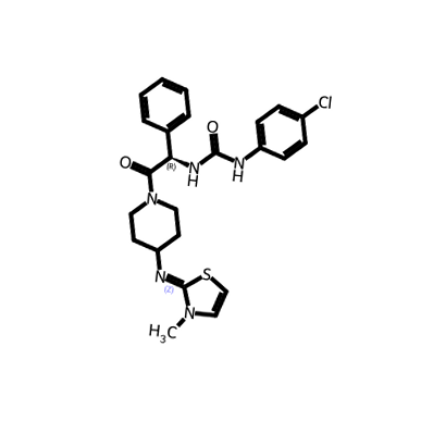 Cn1ccs/c1=N\C1CCN(C(=O)[C@H](NC(=O)Nc2ccc(Cl)cc2)c2ccccc2)CC1